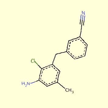 Cc1cc(N)c(Cl)c(Cc2cccc(C#N)c2)c1